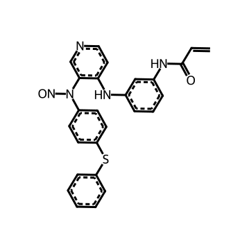 C=CC(=O)Nc1cccc(Nc2ccncc2N(N=O)c2ccc(Sc3ccccc3)cc2)c1